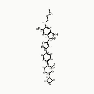 COCCOc1cc2[nH]nc(-c3cc(-c4ccc(N5CCN(C6COC6)C[C@@H]5C)cc4)no3)c2cc1F